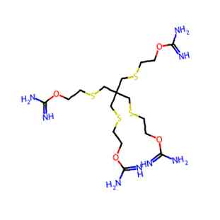 N=C(N)OCCSCC(CSCCOC(=N)N)(CSCCOC(=N)N)CSCCOC(=N)N